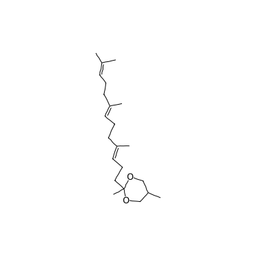 CC(C)=CCC/C(C)=C/CC/C(C)=C/CCC1(C)OCC(C)CO1